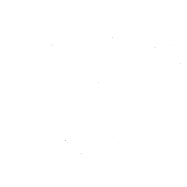 Cc1c(C2=C(c3ccc(CC4CN(CCC(F)F)C4)cc3)c3ccccc3CCC2)cccc1C(F)(F)F